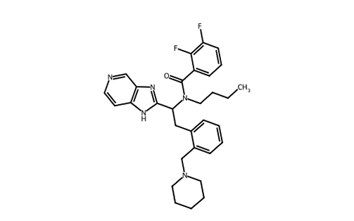 CCCCN(C(=O)c1cccc(F)c1F)C(Cc1ccccc1CN1CCCCC1)c1nc2cnccc2[nH]1